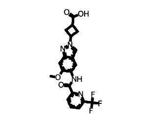 COc1cc2nn(C3CC(C(=O)O)C3)cc2cc1NC(=O)c1cccc(C(F)(F)F)n1